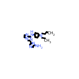 C=CCCN(CCC)c1ccc(Nc2nc(-c3cncc(N)n3)cn3ccnc23)cc1